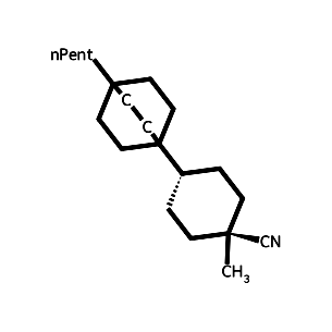 CCCCCC12CCC([C@H]3CC[C@](C)(C#N)CC3)(CC1)CC2